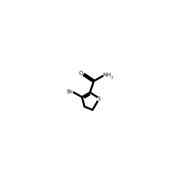 NC(=O)C1=C(Br)CCS1